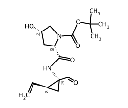 C=C[C@@H]1C[C@@]1(C=O)NC(=O)[C@@H]1C[C@H](O)CN1C(=O)OC(C)(C)C